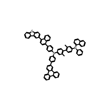 Cc1cc(N(c2ccc(-c3ccc4c5ccccc5c5ccccc5c4c3)cc2)c2ccc(-c3ccc(-c4ccc5sc6ccccc6c5c4)c4ccccc34)cc2)ccc1-c1ccc(N(c2ccccc2)c2cccc3ccccc23)cc1C